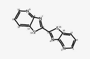 c1cnc2nc(-c3nc4ncccc4s3)sc2c1